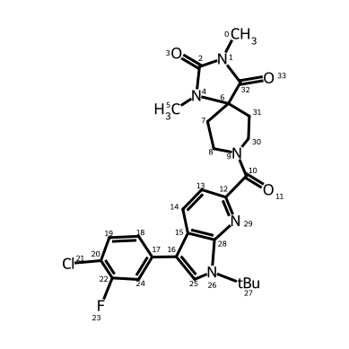 CN1C(=O)N(C)C2(CCN(C(=O)c3ccc4c(-c5ccc(Cl)c(F)c5)cn(C(C)(C)C)c4n3)CC2)C1=O